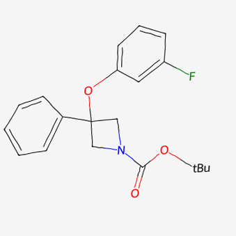 CC(C)(C)OC(=O)N1CC(Oc2cccc(F)c2)(c2ccccc2)C1